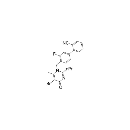 CCCc1nc(=O)c(Br)c(C)n1Cc1ccc(-c2ccccc2C#N)cc1F